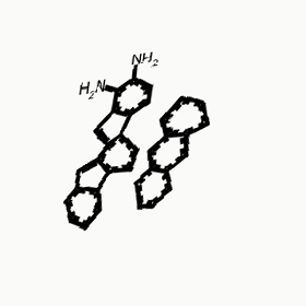 Nc1ccc2c(c1N)C=c1c-2ccc2c1=Cc1ccccc1-2.c1ccc2cc3ccccc3cc2c1